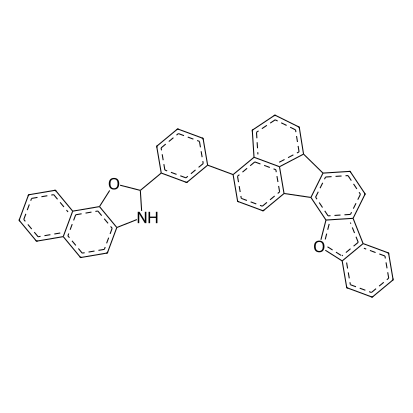 c1cc(-c2ccc3c4c(cccc24)-c2ccc4c(oc5ccccc54)c2-3)cc(C2Nc3ccc4ccccc4c3O2)c1